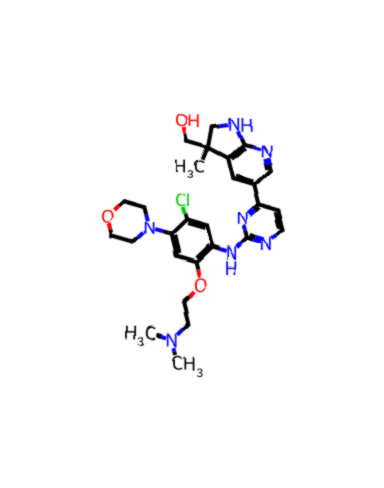 CN(C)CCOc1cc(N2CCOCC2)c(Cl)cc1Nc1nccc(-c2cnc3c(c2)C(C)(CO)CN3)n1